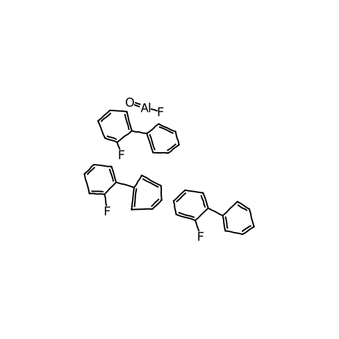 Fc1ccccc1-c1ccccc1.Fc1ccccc1-c1ccccc1.Fc1ccccc1-c1ccccc1.[O]=[Al][F]